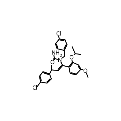 COc1ccc(/C(=C/C(C)c2ccc(Cl)cc2)N(Cc2ccc(Cl)cc2)C(N)=O)c(OC(C)C)c1